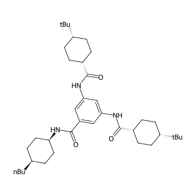 CCCC[C@H]1CC[C@@H](NC(=O)c2cc(NC(=O)[C@H]3CC[C@@H](C(C)(C)C)CC3)cc(NC(=O)[C@H]3CC[C@@H](C(C)(C)C)CC3)c2)CC1